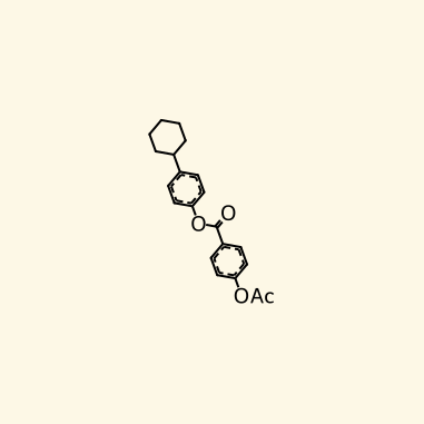 CC(=O)Oc1ccc(C(=O)Oc2ccc(C3CCCCC3)cc2)cc1